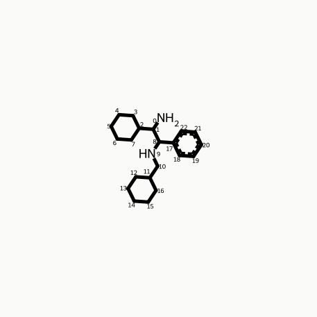 NC(C1CCCCC1)C(NCC1CCCCC1)c1ccccc1